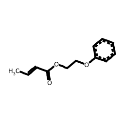 CC=CC(=O)OCCOc1cc[c]cc1